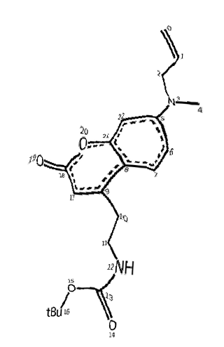 C=CCN(C)c1ccc2c(CCNC(=O)OC(C)(C)C)cc(=O)oc2c1